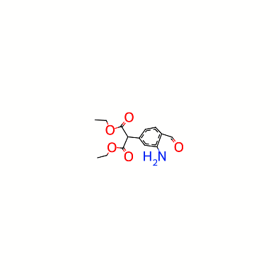 CCOC(=O)C(C(=O)OCC)c1ccc(C=O)c(N)c1